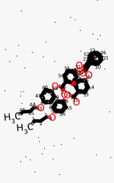 CCCCOc1ccc(OC(=O)c2ccc(OC(=O)[C]34[CH]5[CH]6[CH]7[CH]3[Fe]6754389%10[CH]4[CH]3[CH]8[C]9(C(=O)Oc3ccc(C(=O)Oc5ccc(OCCCC)cc5)cc3)[CH]4%10)cc2)cc1